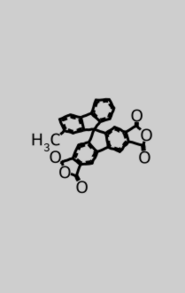 Cc1ccc2c(c1)C1(c3ccccc3-2)c2cc3c(cc2-c2cc4c(cc21)C(=O)OC4=O)C(=O)OC3=O